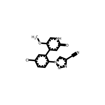 COc1c[nH]c(=O)cc1-c1cc(Cl)ccc1-n1cc(C#N)nn1